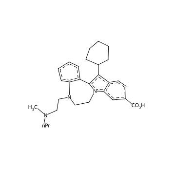 CCCN(C)CCN1CCn2c(c(C3CCCCC3)c3ccc(C(=O)O)cc32)-c2ccccc21